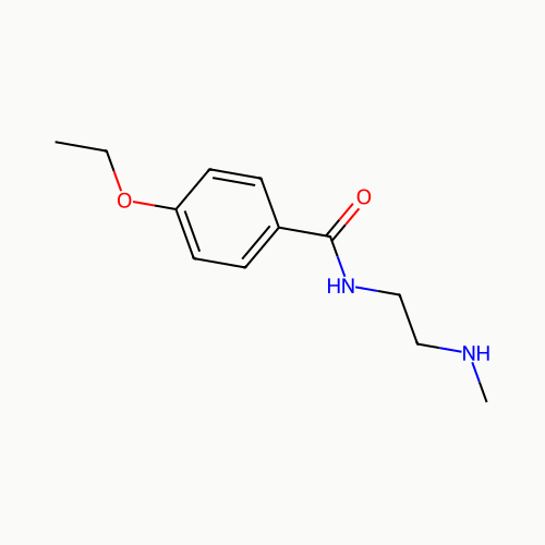 CCOc1ccc(C(=O)NCCNC)cc1